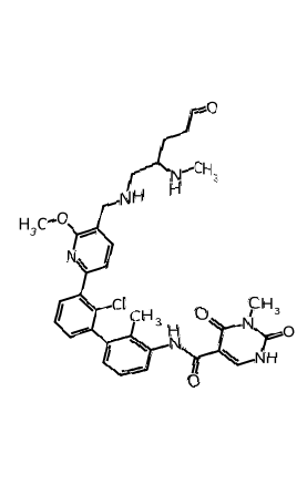 CNC(CCC=O)CNCc1ccc(-c2cccc(-c3cccc(NC(=O)c4c[nH]c(=O)n(C)c4=O)c3C)c2Cl)nc1OC